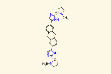 BN1CCC[C@H]1c1ncc(-c2ccc3c(c2)Cc2ccc(-c4cnc([C@@H]5CCCN5C)[nH]4)cc2C3)[nH]1